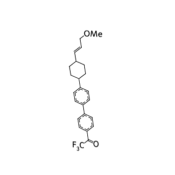 COC/C=C/C1CCC(c2ccc(-c3ccc(C(=O)C(F)(F)F)cc3)cc2)CC1